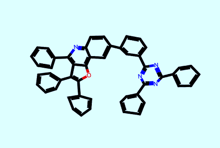 c1ccc(-c2nc(-c3ccccc3)nc(-c3cccc(-c4ccc5nc(-c6ccccc6)c6c(-c7ccccc7)c(-c7ccccc7)oc6c5c4)c3)n2)cc1